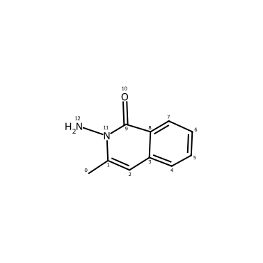 Cc1cc2ccccc2c(=O)n1N